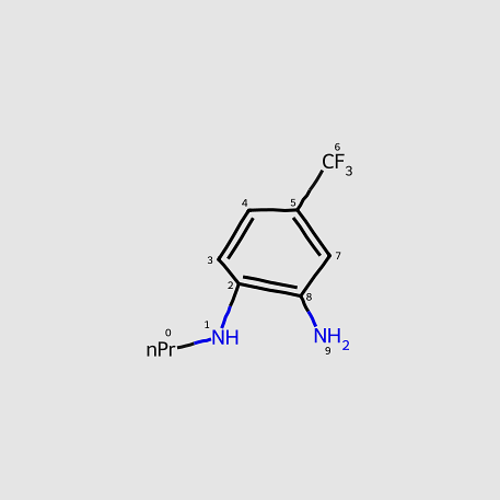 CCCNc1ccc(C(F)(F)F)cc1N